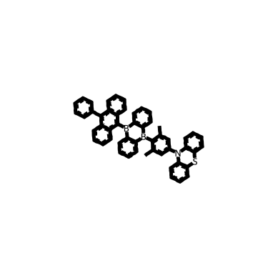 Cc1cc(N2c3ccccc3Sc3ccccc32)cc(C)c1B1c2ccccc2B(c2c3ccccc3c(-c3ccccc3)c3ccccc23)c2ccccc21